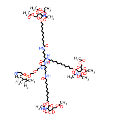 CC(=O)NC1C(OCCCCCCCCCCCC(=O)NCCCCC(NC(=O)CCCCCCCCCCCOC2OC(COC(C)=O)C(OC(C)=O)C(OC(C)=O)C2NC(C)=O)C(=O)NC(CCCCNC(=O)CCCCCCCCCCCOC2OC(COC(C)=O)C(OC(C)=O)C(OC(C)=O)C2NC(C)=O)C(=O)NCCOCCOP(OCCC#N)C(C(C)C)C(C)C)OC(COC(C)=O)C(OC(C)=O)C1OC(C)=O